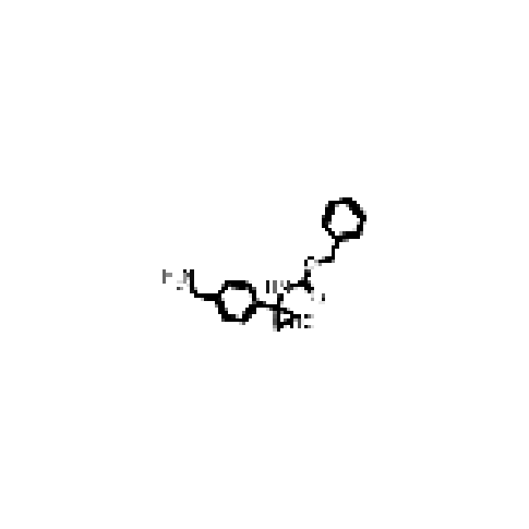 Cl.NCc1ccc(C2(NC(=O)OCc3ccccc3)CC2)cc1